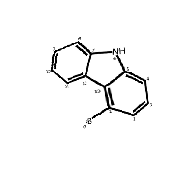 [B]c1cccc2[nH]c3ccccc3c12